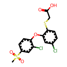 CS(=O)(=O)c1ccc(Oc2cc(Cl)ccc2SCC(=O)O)c(Cl)c1